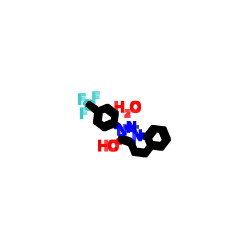 O.OC1=C2C=Cc3ccccc3N2[N]N1c1ccc(C(F)(F)F)cc1